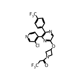 O=C(CC(F)(F)F)N1CC(Oc2cnc(-c3ccc(C(F)(F)F)cc3)c(-c3ccncc3Cl)n2)C1